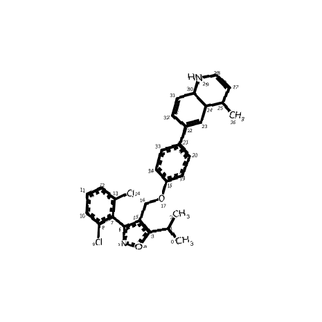 CC(C)c1onc(-c2c(Cl)cccc2Cl)c1COc1ccc(C2=CC3C(C)C=CNC3C=C2)cc1